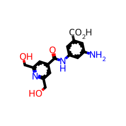 Nc1cc(NC(=O)c2cc(CO)nc(CO)c2)cc(C(=O)O)c1